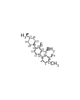 BC1c2c(ccc(C)c2F)-c2ccc(C3=CCC(C)CC3)c(F)c21